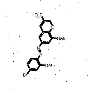 COc1cc(Br)ccc1/N=N/c1cc2c(c(OC)c1)OCC(C(=O)O)=C2